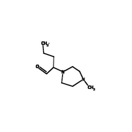 [CH2]CCC(C=O)N1CCN(C)CC1